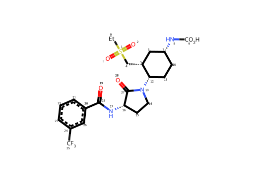 CCS(=O)(=O)C[C@@H]1C[C@H](NC(=O)O)CC[C@@H]1N1CC[C@H](NC(=O)c2cccc(C(F)(F)F)c2)C1=O